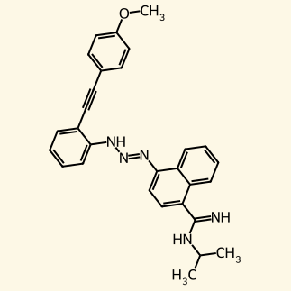 COc1ccc(C#Cc2ccccc2N/N=N/c2ccc(C(=N)NC(C)C)c3ccccc23)cc1